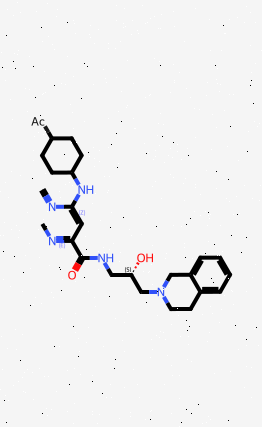 C=N/C(=C\C(=N/C)C(=O)NC[C@H](O)CN1CCc2ccccc2C1)NC1CCC(C(C)=O)CC1